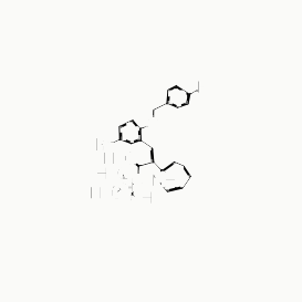 C=C(O[Si](C)(C)C)C(=Cc1cc(Br)ccc1OCc1ccc(F)cc1)C1=CC=CC=CN1